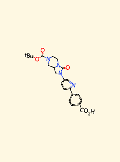 CC(C)(C)OC(=O)N1CCN2C(=O)N(c3ccc(-c4ccc(C(=O)O)cc4)nc3)CC2C1